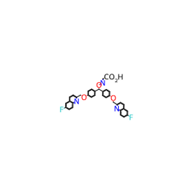 O=C(O)C=NOC(c1ccc(OCc2ccc3cc(F)ccc3n2)cc1)c1ccc(OCc2ccc3cc(F)ccc3n2)cc1